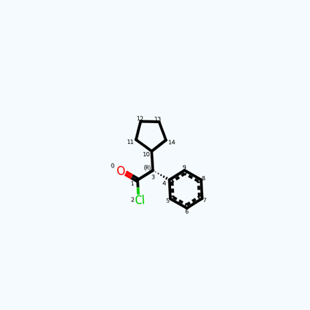 O=C(Cl)[C@@H](c1ccccc1)C1CCCC1